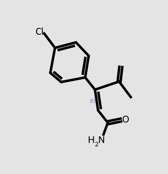 C=C(C)/C(=C\C(N)=O)c1ccc(Cl)cc1